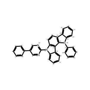 c1ccc(-c2cnc(-n3c4ccccc4c4c3ccc3c5ccccc5n(-c5ccccc5)c34)nc2)cc1